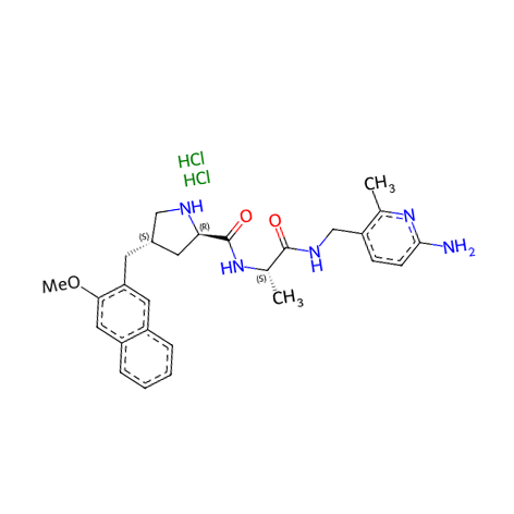 COc1cc2ccccc2cc1C[C@@H]1CN[C@@H](C(=O)N[C@@H](C)C(=O)NCc2ccc(N)nc2C)C1.Cl.Cl